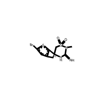 CN1C(=N)N[C@@]2(Cc3cc(Br)sc32)CS1(=O)=O